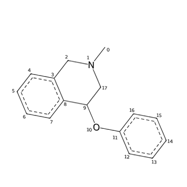 CN1Cc2ccccc2C(Oc2ccccc2)C1